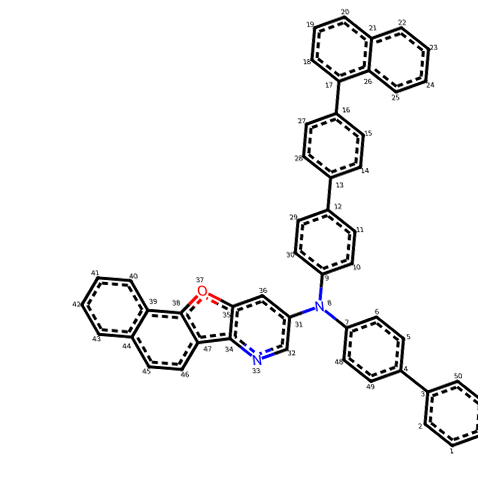 c1ccc(-c2ccc(N(c3ccc(-c4ccc(-c5cccc6ccccc56)cc4)cc3)c3cnc4c(c3)oc3c5ccccc5ccc43)cc2)cc1